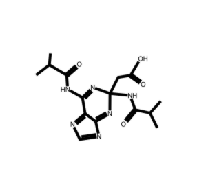 CC(C)C(=O)NC1=NC(CC(=O)O)(NC(=O)C(C)C)N=C2N=CN=C21